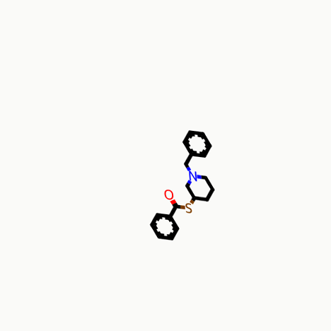 O=C(SC1CCCN(Cc2ccccc2)C1)c1ccccc1